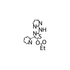 CCC(=O)Oc1sc(Nc2ncccn2)nc1-c1ccccn1